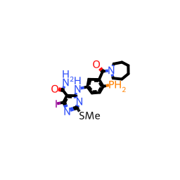 CSc1nc(I)c(C(N)=O)c(Nc2ccc(P)c(C(=O)N3CCCCCC3)c2)n1